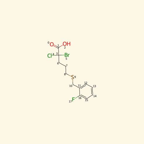 O=C(O)C(Cl)(Br)CCCSCc1ccccc1F